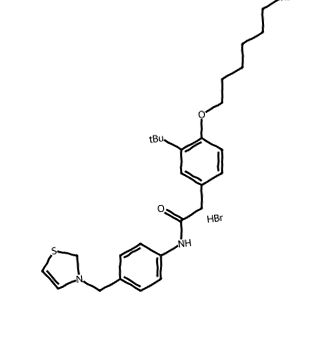 Br.CCCCCCCCCCCCCCCCOc1ccc(CC(=O)Nc2ccc(CN3C=CSC3)cc2)cc1C(C)(C)C